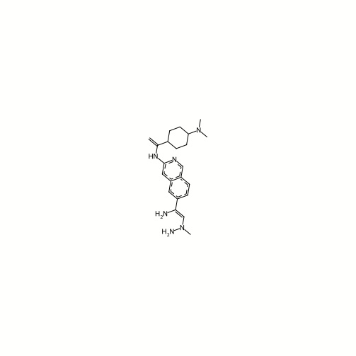 C=C(Nc1cc2cc(/C(N)=C/N(C)N)ccc2cn1)C1CCC(N(C)C)CC1